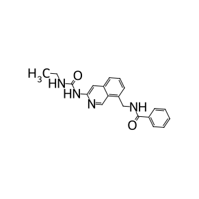 CCNC(=O)Nc1cc2cccc(CNC(=O)c3ccccc3)c2cn1